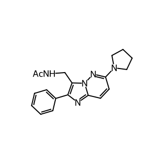 CC(=O)NCc1c(-c2ccccc2)nc2ccc(N3CCCC3)nn12